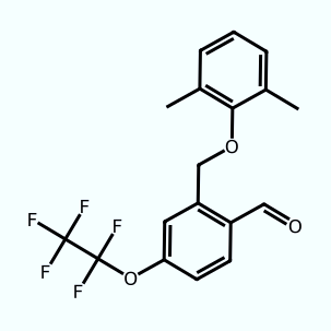 Cc1cccc(C)c1OCc1cc(OC(F)(F)C(F)(F)F)ccc1C=O